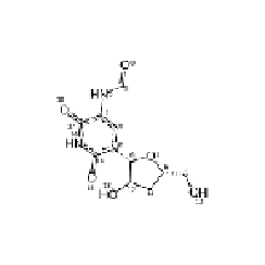 O=CNc1cn([C@@H]2O[C@H](CO)CC2O)c(=O)[nH]c1=O